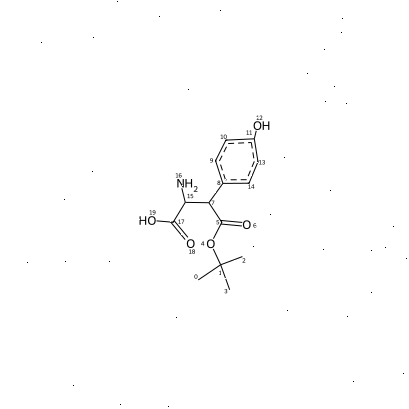 CC(C)(C)OC(=O)C(c1ccc(O)cc1)C(N)C(=O)O